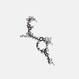 C=CC(=O)OCC1CC2C3CC(C2C1)C(C1(CC)CCCCC(C)(CCC)CCC2C(CCCCCCCC)CCC(CCCCCCCC(CC)(CCCCC)C(=O)OCC4C[C@H]5CC4C4CC(COC(=O)C(=C)C)CC45)C2CCCCCCCCC(=O)O1)C3